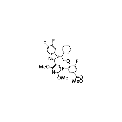 COC(=O)c1cc(F)c(OCC(C2CCCCC2)n2c(-c3ccc(OC)nc3OC)nc3cc(F)c(F)cc32)c(F)c1